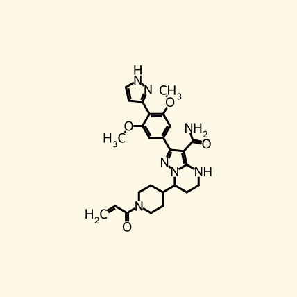 C=CC(=O)N1CCC(C2CCNc3c(C(N)=O)c(-c4cc(OC)c(-c5cc[nH]n5)c(OC)c4)nn32)CC1